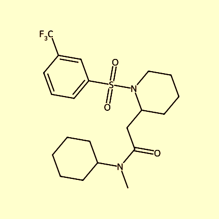 CN(C(=O)CC1CCCCN1S(=O)(=O)c1cccc(C(F)(F)F)c1)C1CCCCC1